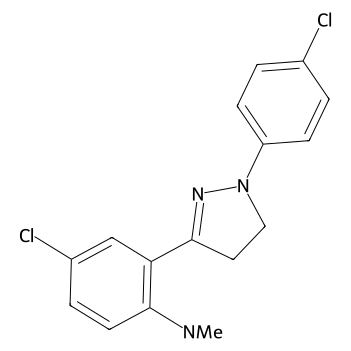 CNc1ccc(Cl)cc1C1=NN(c2ccc(Cl)cc2)CC1